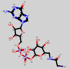 Nc1nc2c(ncn2C2OC(COP(=O)(O)OP(=O)(O)OC3OC(CNC(=O)CI)C(O)C(O)C3O)C(O)C2O)c(=O)[nH]1